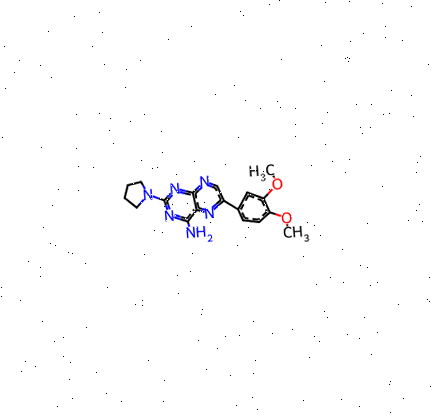 COc1ccc(-c2cnc3nc(N4CCCC4)nc(N)c3n2)cc1OC